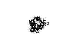 N[C@@H]1CCN(Cc2cnc3sc(-c4ccccc4NC(=O)c4ccc5ccccc5n4)nc3c2)C1